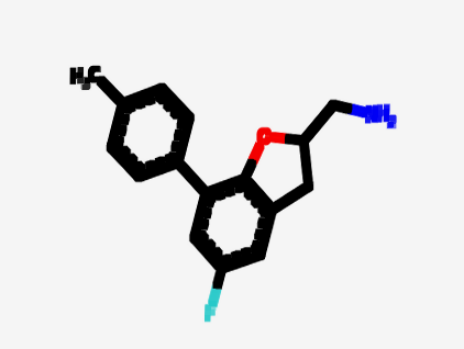 Cc1ccc(-c2cc(F)cc3c2OC(CN)C3)cc1